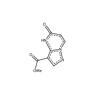 COC(=O)c1cnn2ccc(=O)[nH]c12